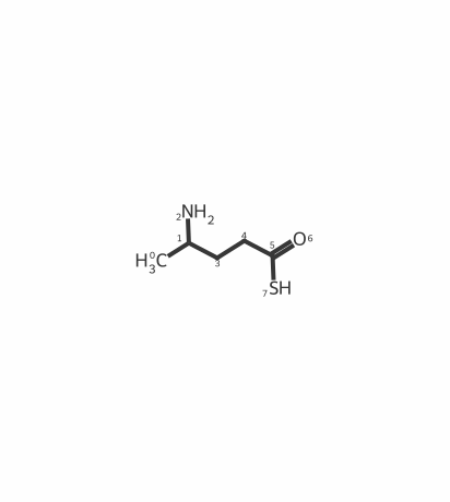 CC(N)CCC(=O)S